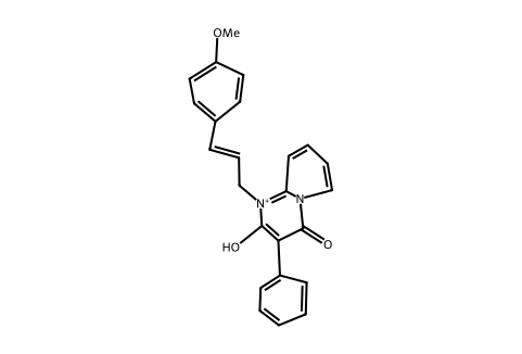 COc1ccc(/C=C/C[n+]2c(O)c(-c3ccccc3)c(=O)n3ccccc32)cc1